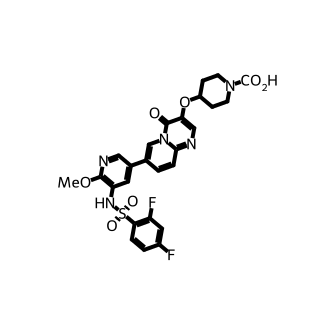 COc1ncc(-c2ccc3ncc(OC4CCN(C(=O)O)CC4)c(=O)n3c2)cc1NS(=O)(=O)c1ccc(F)cc1F